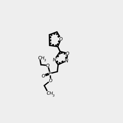 CCOP(=O)(Cc1noc(-c2ccco2)n1)OCC